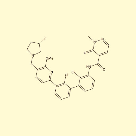 COc1nc(-c2cccc(-c3cccc(NC(=O)c4ccnn(C)c4=O)c3Cl)c2Cl)ccc1CN1CC[C@H](C)C1